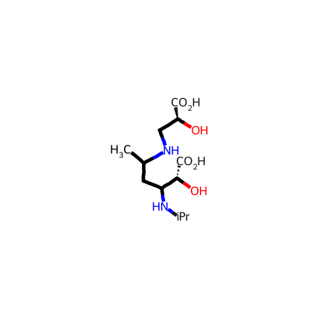 CC(C)NC(CC(C)NC[C@H](O)C(=O)O)[C@@H](O)C(=O)O